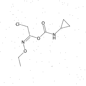 CCO/N=C(/CCl)OC(=O)NC1CC1